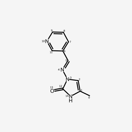 Cc1cn(N=Cc2cccnc2)c(=O)[nH]1